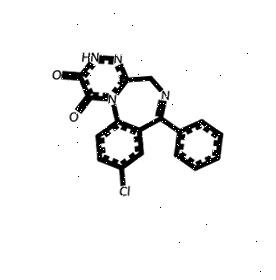 O=c1[nH]nc2n(c1=O)-c1ccc(Cl)cc1C(c1ccccc1)=NC2